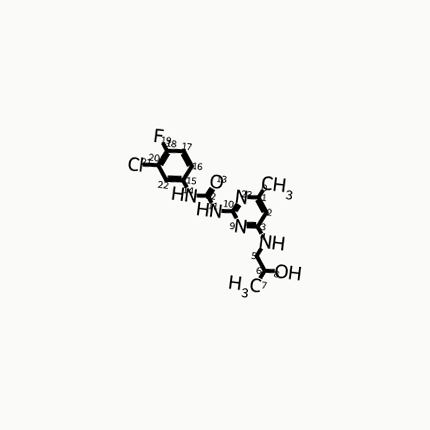 Cc1cc(NCC(C)O)nc(NC(=O)Nc2ccc(F)c(Cl)c2)n1